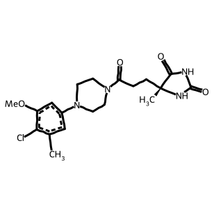 COc1cc(N2CCN(C(=O)CC[C@@]3(C)NC(=O)NC3=O)CC2)cc(C)c1Cl